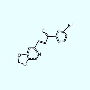 O=C(/C=C/c1cc2c(cn1)OCO2)c1cccc(Br)c1